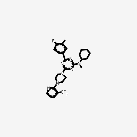 Cc1cc(-c2nc(N3CCN(c4ncccc4C(F)(F)F)CC3)nc(N(C)C3CCCCC3)n2)ccc1F